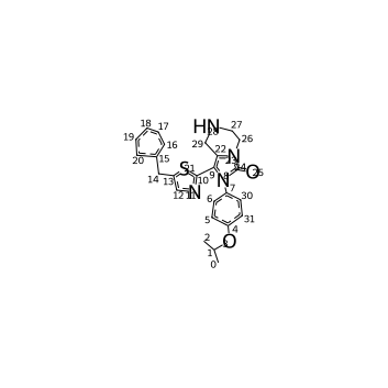 CC(C)Oc1ccc(-n2c(-c3ncc(Cc4ccccc4)s3)c3n(c2=O)CCNC3)cc1